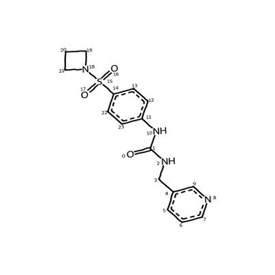 O=C(NCc1cccnc1)Nc1ccc(S(=O)(=O)N2CCC2)cc1